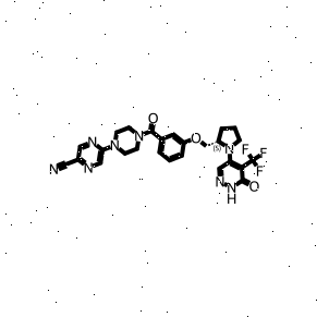 N#Cc1cnc(N2CCN(C(=O)c3cccc(OC[C@@H]4CCCN4c4cn[nH]c(=O)c4C(F)(F)F)c3)CC2)cn1